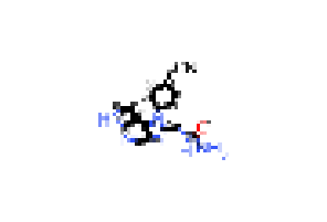 N#CC[C@H]1CC[C@H](n2c(CNC(N)=O)nc3cnc4[nH]ccc4c32)CC1